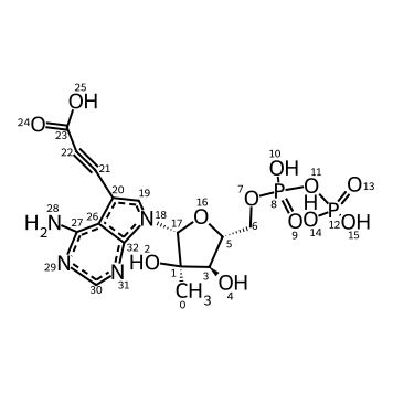 C[C@@]1(O)[C@H](O)[C@@H](COP(=O)(O)OP(=O)(O)O)O[C@H]1n1cc(C#CC(=O)O)c2c(N)ncnc21